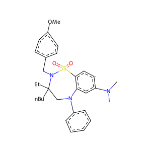 CCCCC1(CC)CN(c2ccccc2)c2cc(N(C)C)[c]cc2S(=O)(=O)N1Cc1ccc(OC)cc1